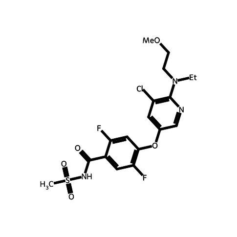 CCN(CCOC)c1ncc(Oc2cc(F)c(C(=O)NS(C)(=O)=O)cc2F)cc1Cl